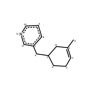 CC1=CCCC(Cc2cccnc2)C1